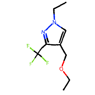 CCOCc1cn(CC)nc1C(F)(F)F